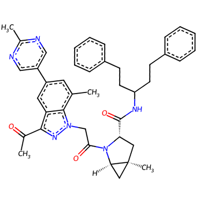 CC(=O)c1nn(CC(=O)N2[C@H](C(=O)NC(CCc3ccccc3)CCc3ccccc3)C[C@@]3(C)C[C@@H]23)c2c(C)cc(-c3cnc(C)nc3)cc12